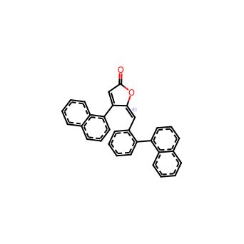 O=C1C=C(c2cccc3ccccc23)/C(=C\c2ccccc2-c2cccc3ccccc23)O1